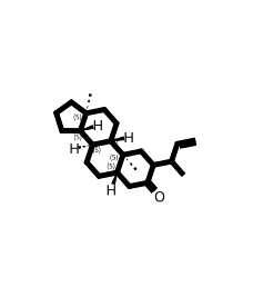 C=CC(C)C1C[C@@]2(C)[C@@H](CC[C@H]3[C@@H]4CCC[C@@]4(C)CC[C@@H]32)CC1=O